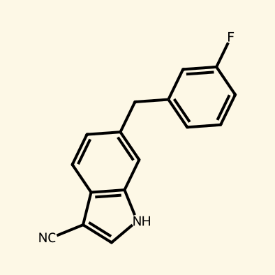 N#Cc1c[nH]c2cc(Cc3cccc(F)c3)ccc12